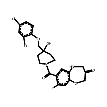 O=C1CNc2cc(C(=O)N3CCC(O)(COc4ccc(Cl)cc4Cl)CC3)c(F)cc2OC1